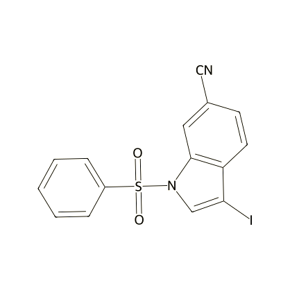 N#Cc1ccc2c(I)cn(S(=O)(=O)c3ccccc3)c2c1